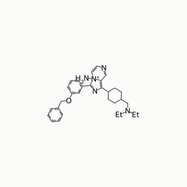 CCN(CC)CC1CCC(C2=C3C=NC=C[N+]3(N)C(c3cccc(OCc4ccccc4)c3)=N2)CC1